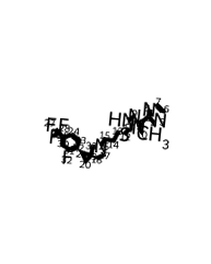 CN1C(c2cnccn2)=NNC1SCCCN1CC[C@]2(C[C@@H]2c2ccc(C(F)(F)F)cc2F)C1